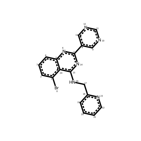 Brc1cccc2nc(-c3cncnc3)nc(NCc3ccccn3)c12